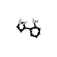 Oc1ccccc1-c1ccon1